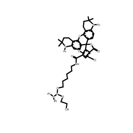 CC(=O)N1c2ccc3c(c2CCC1(C)C)Oc1c(ccc2c1CCC(C)(C)N2C(C)=O)C31OC(=O)c2c(Cl)cc(C(=O)NCCCCCCOP(OCCC#N)N(C(C)C)C(C)C)c(Cl)c21